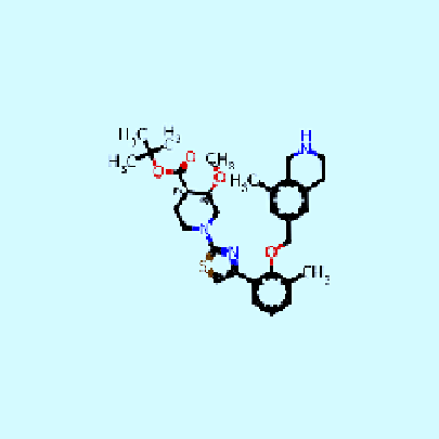 CO[C@H]1CN(c2nc(-c3cccc(C)c3OCc3cc(C)c4c(c3)CCNC4)cs2)CC[C@H]1C(=O)OC(C)(C)C